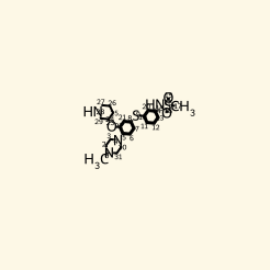 CN1CCN(c2ccc(Sc3cccc(NS(C)(=O)=O)c3)cc2OC2CCCNC2)CC1